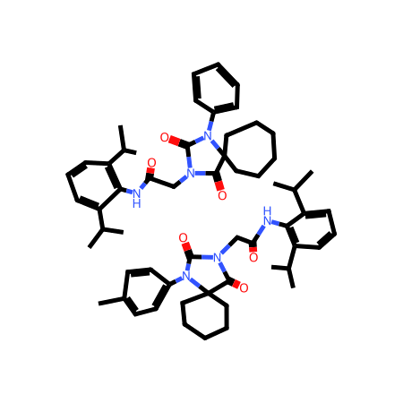 CC(C)c1cccc(C(C)C)c1NC(=O)CN1C(=O)N(c2ccccc2)C2(CCCCCC2)C1=O.Cc1ccc(N2C(=O)N(CC(=O)Nc3c(C(C)C)cccc3C(C)C)C(=O)C23CCCCC3)cc1